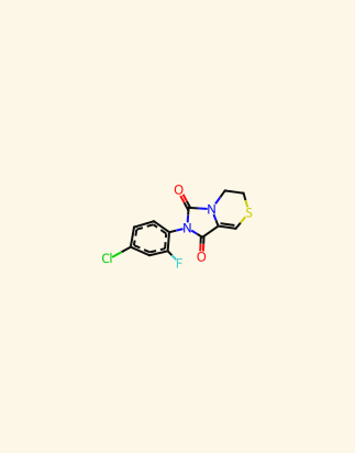 O=C1C2=CSCCN2C(=O)N1c1ccc(Cl)cc1F